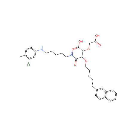 Cc1ccc(NCCCCCNC(=O)C(OCCCCCc2ccc3ccccc3c2)C(OCC(=O)O)C(=O)O)cc1Cl